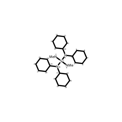 CN[Si](NC)(N(C1CCCCC1)C1CCCCC1)N(C1CCCCC1)C1CCCCC1